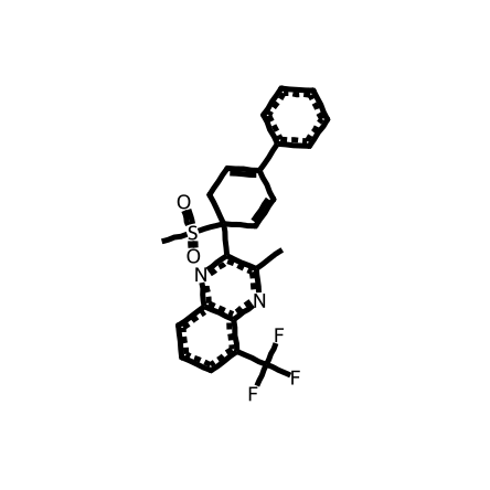 Cc1nc2c(C(F)(F)F)cccc2nc1C1(S(C)(=O)=O)C=CC(c2ccccc2)=CC1